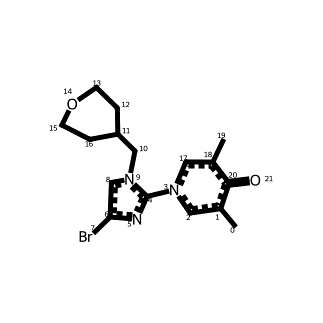 Cc1cn(-c2nc(Br)cn2CC2CCOCC2)cc(C)c1=O